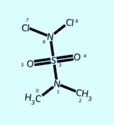 CN(C)S(=O)(=O)N(Cl)Cl